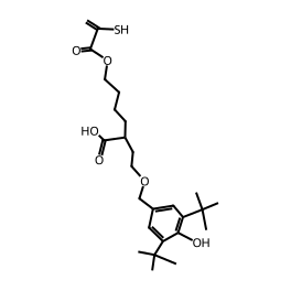 C=C(S)C(=O)OCCCCC(CCOCc1cc(C(C)(C)C)c(O)c(C(C)(C)C)c1)C(=O)O